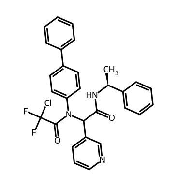 C[C@H](NC(=O)C(c1cccnc1)N(C(=O)C(F)(F)Cl)c1ccc(-c2ccccc2)cc1)c1ccccc1